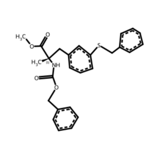 COC(=O)[C@](C)(Cc1cccc(SCc2ccccc2)c1)NC(=O)OCc1ccccc1